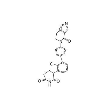 O=C1CCC(c2cccc(-c3ccc(N4CCn5cncc5C4=O)cc3)c2Cl)C(=O)N1